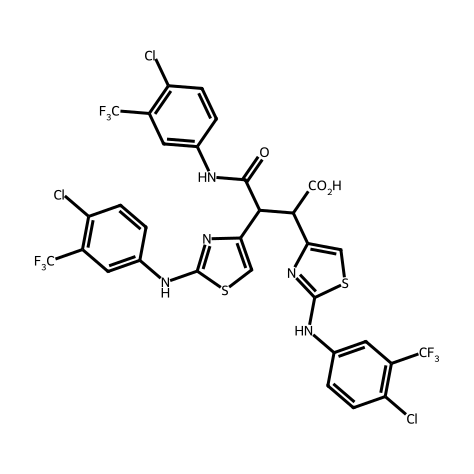 O=C(O)C(c1csc(Nc2ccc(Cl)c(C(F)(F)F)c2)n1)C(C(=O)Nc1ccc(Cl)c(C(F)(F)F)c1)c1csc(Nc2ccc(Cl)c(C(F)(F)F)c2)n1